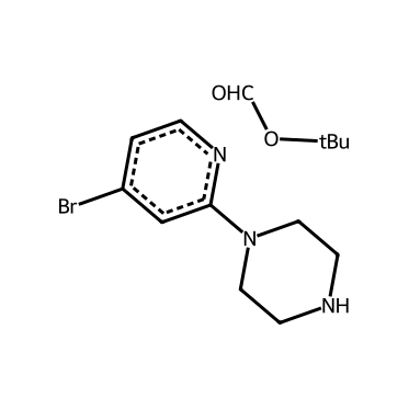 Brc1ccnc(N2CCNCC2)c1.CC(C)(C)OC=O